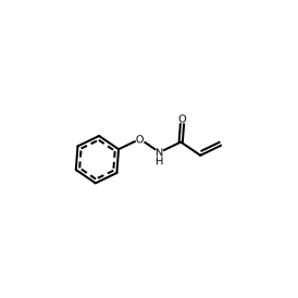 C=CC(=O)NOc1ccccc1